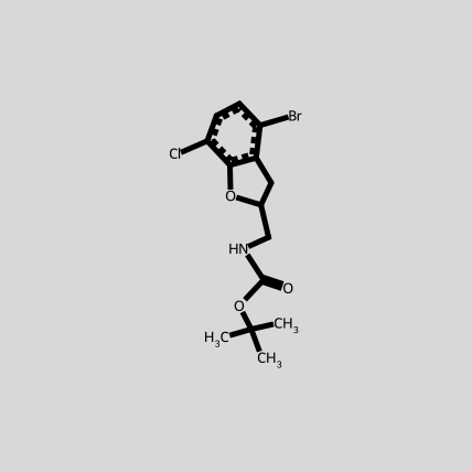 CC(C)(C)OC(=O)NCC1Cc2c(Br)ccc(Cl)c2O1